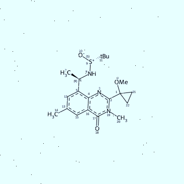 COC1(c2nc3c([C@@H](C)N[S@+]([O-])C(C)(C)C)cc(C)cc3c(=O)n2C)CC1